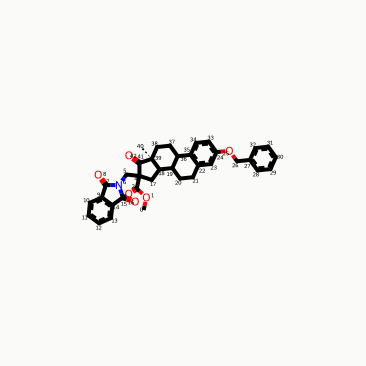 COC(=O)C1(CN2C(=O)c3ccccc3C2=O)CC2C3CCc4cc(OCc5ccccc5)ccc4C3CC[C@]2(C)C1=O